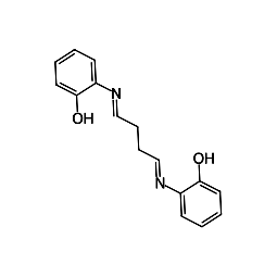 Oc1ccccc1/N=C/CC/C=N/c1ccccc1O